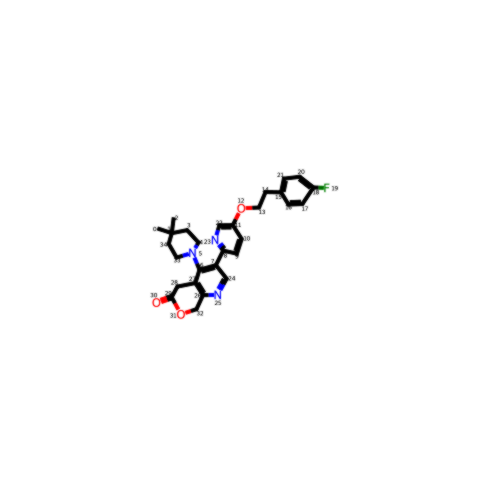 CC1(C)CCN(c2c(-c3ccc(OCCc4ccc(F)cc4)cn3)cnc3c2CC(=O)OC3)CC1